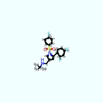 [2H]C([2H])([2H])NCc1cc(-c2ccc(F)cc2F)n(S(=O)(=O)c2ccc(F)cc2)c1